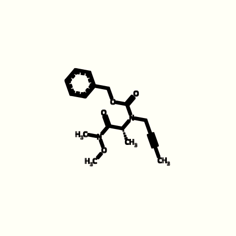 CC#CCN(C(=O)OCc1ccccc1)[C@H](C)C(=O)N(C)OC